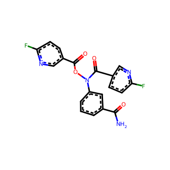 NC(=O)c1cccc(N(OC(=O)c2ccc(F)nc2)C(=O)c2ccc(F)nc2)c1